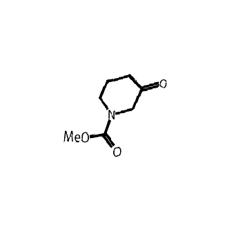 COC(=O)N1CCCC(=O)C1